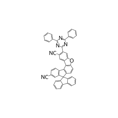 N#Cc1ccc2c(c1)C1(c3ccccc3-c3ccccc31)c1ccc3oc4cc(-c5nc(-c6ccccc6)nc(-c6ccccc6)n5)c(C#N)cc4c3c1-2